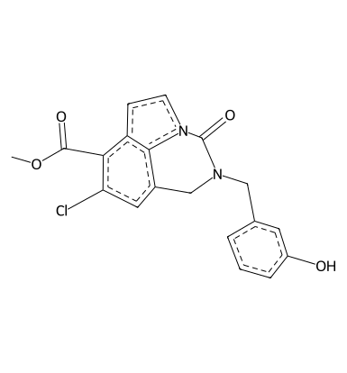 COC(=O)c1c(Cl)cc2c3c1ccn3C(=O)N(Cc1cccc(O)c1)C2